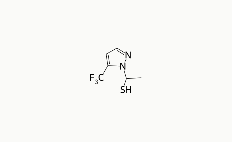 CC(S)n1nccc1C(F)(F)F